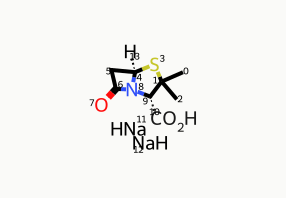 CC1(C)S[C@@H]2CC(=O)N2[C@H]1C(=O)O.[NaH].[NaH]